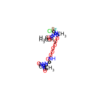 C[C@@H]1COCCN1c1nc(N2CCOC[C@H]2C)c2ccc(-c3cccc(C(=O)NCCOCCOCCOCCOCCOCCOCCN(C)c4nc(N5CCN(C(=O)OC(C)(C)C)CC5)c5cc(Cl)c(Br)c(F)c5n4)c3)nc2n1